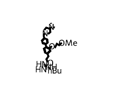 CCCCNC(=N)NC(=O)CCc1ccc(-c2ccc(CN3CCC(N(C)C)CC3)cc2)c(OCCCOC)c1